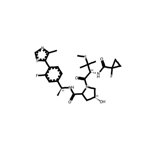 CSC(C)(C)[C@H](NC(=O)C1(F)CC1)C(=O)N1C[C@H](O)CC1C(=O)N[C@@H](C)c1ccc(-c2scnc2C)c(F)c1